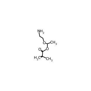 C=C(C)C(=O)OC(C)OCCN